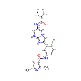 Cc1nc(C)c(C(=O)Nc2ccc(F)c(-c3cn4cc(NC(=O)[C@@H]5CCCO5)cnc4n3)c2)o1